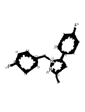 Cc1cc(-c2ccc(F)cc2)n(Cc2ccc(F)cc2)n1